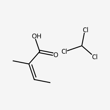 CC=C(C)C(=O)O.ClC(Cl)Cl